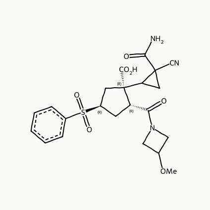 COC1CN(C(=O)[C@@H]2C[C@@H](S(=O)(=O)c3ccccc3)C[C@@]2(C(=O)O)C2CC2(C#N)C(N)=O)C1